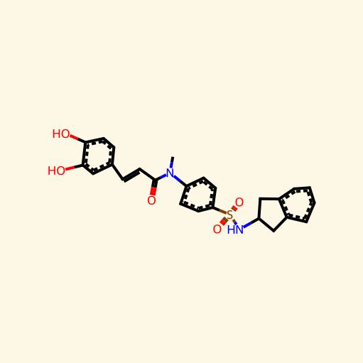 CN(C(=O)C=Cc1ccc(O)c(O)c1)c1ccc(S(=O)(=O)NC2Cc3ccccc3C2)cc1